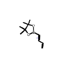 C=C/C=C/B1OC(C)(C)C(C)(C)O1